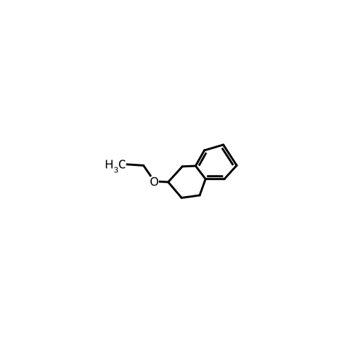 CCOC1CCc2ccccc2C1